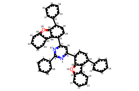 c1ccc(-c2nc(-c3ccc(-c4ccccc4)c4c3oc3ccccc34)cc(-c3ccc(-c4ccccc4)c4oc5ccccc5c34)n2)cc1